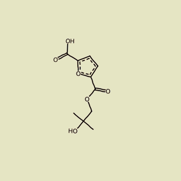 CC(C)(O)COC(=O)c1ccc(C(=O)O)o1